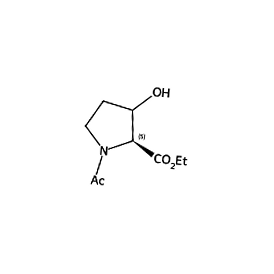 CCOC(=O)[C@@H]1C(O)CCN1C(C)=O